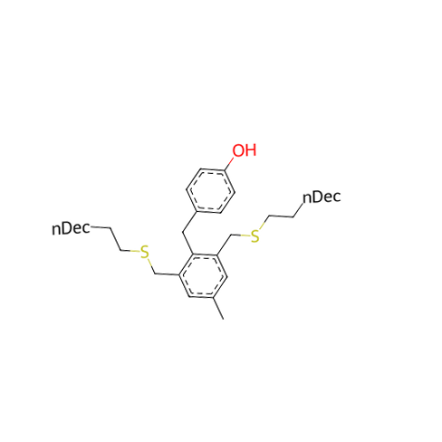 CCCCCCCCCCCCSCc1cc(C)cc(CSCCCCCCCCCCCC)c1Cc1ccc(O)cc1